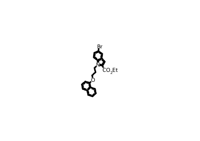 CCOC(=O)c1cc2cc(Br)ccc2n1CCCOc1cccc2ccccc12